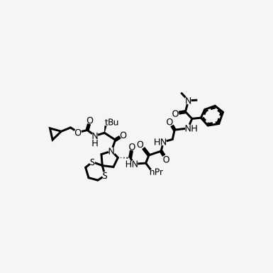 CCCC(NC(=O)[C@@H]1CC2(CN1C(=O)[C@@H](NC(=O)OCC1CC1)C(C)(C)C)SCCCS2)C(=O)C(=O)NCC(=O)NC(C(=O)N(C)C)c1ccccc1